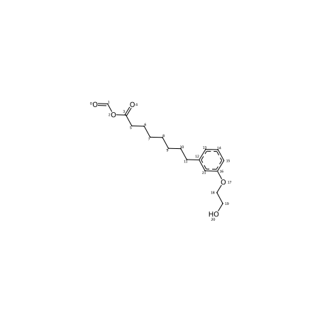 O=COC(=O)CCCCCCCc1cccc(OCCO)c1